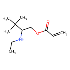 C=CC(=O)OCC(NCC)C(C)(C)C